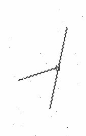 CCCCCCCCCCCCCCCCCCCCC=CN(C=CCCCCCCCCCCCCCCCCCCCC)C=CCCCCCCCCCCCCCCCCCCCC